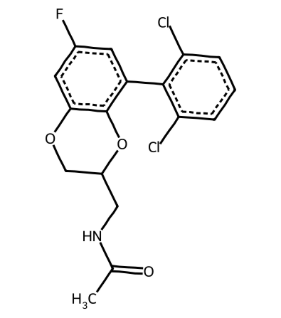 CC(=O)NCC1COc2cc(F)cc(-c3c(Cl)cccc3Cl)c2O1